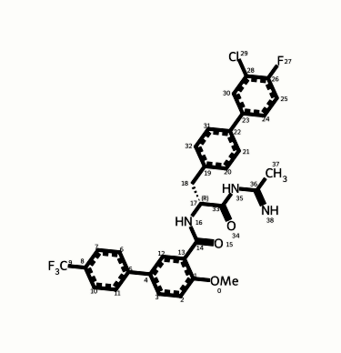 COc1ccc(-c2ccc(C(F)(F)F)cc2)cc1C(=O)N[C@H](Cc1ccc(-c2ccc(F)c(Cl)c2)cc1)C(=O)NC(C)=N